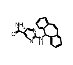 NC(=O)c1cnc(NC2c3ccccc3C=Cc3ccccc32)nc1